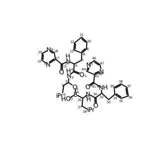 CC(C)CC(NC(=O)C(Cc1ccccc1)NC(=O)c1cnccn1)OB(O)C(CC(C)C)NC(=O)C(Cc1ccccc1)NC(=O)c1cnccn1